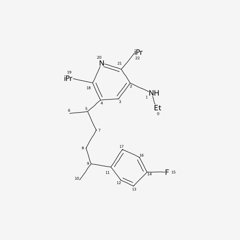 CCNc1cc(C(C)CCC(C)c2ccc(F)cc2)c(C(C)C)nc1C(C)C